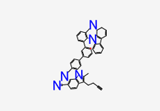 C#CCCc1c(C)n(-c2cc(-c3cccc(-c4cccc(C#N)c4-n4c5c(c6ccccc64)C=CCC5)c3)ccc2C#N)c2cc(C#N)ccc12